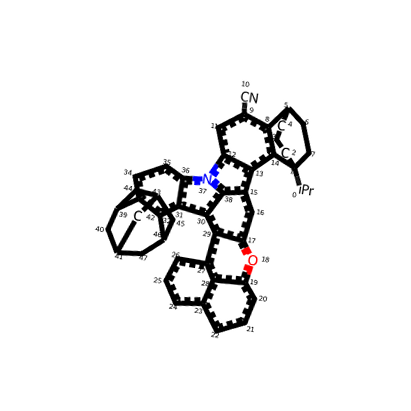 CC(C)C12CCCC(CC1)c1c(C#N)cc3c(c12)c1cc2oc4cccc5cccc(c54)c2c2c4c5c(ccc4n3c12)C1CC2CC(C1)CC5C2